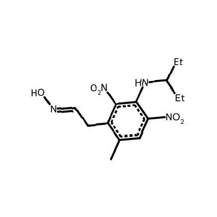 CCC(CC)Nc1c([N+](=O)[O-])cc(C)c(C/C=N/O)c1[N+](=O)[O-]